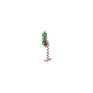 CCN(CCCCCCCCCCC(=O)O)S(=O)(=O)C(F)(F)C(F)(F)C(F)(F)C(F)(F)C(F)(F)C(F)(F)C(F)(F)C(F)(F)F